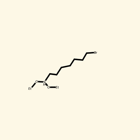 CCO[SiH](CCCCCCCBr)OCC